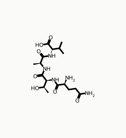 CC(C)[C@H](NC(=O)[C@H](C)NC(=O)[C@@H](NC(=O)[C@@H](N)CCC(N)=O)[C@@H](C)O)C(=O)O